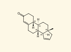 C[C@@]12CC=C[C@H]1[C@@H]1CCC3=CC(=O)CC[C@@H]3[C@H]1CC2